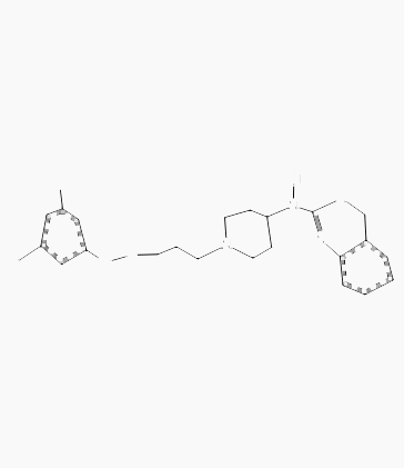 CN(C1=Nc2ccccc2CS1)C1CCN(CCCCOc2cc(F)cc(F)c2)CC1